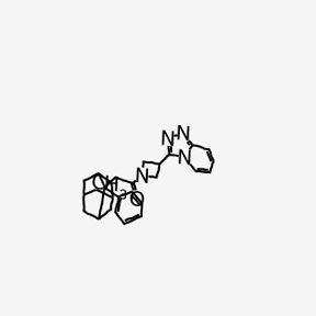 CC1C2CC3CC1CC(C2)C3(CC(=O)N1CC(c2nnc3ccccn23)C1)c1ccccc1